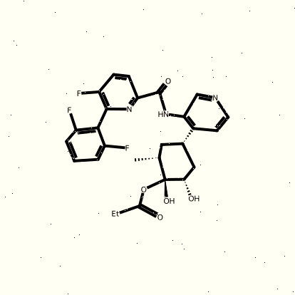 CCC(=O)O[C@]1(O)[C@H](C)C[C@H](c2ccncc2NC(=O)c2ccc(F)c(-c3c(F)cccc3F)n2)C[C@@H]1O